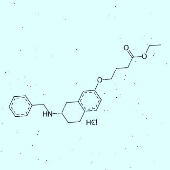 CCOC(=O)CCCOc1ccc2c(c1)CC(NCc1ccccc1)CC2.Cl